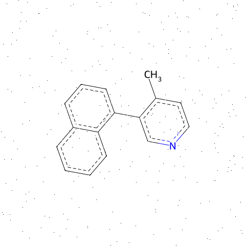 Cc1ccncc1-c1cccc2ccccc12